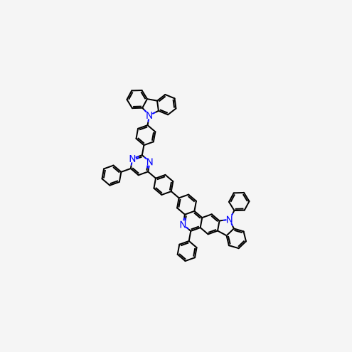 c1ccc(-c2cc(-c3ccc(-c4ccc5c(c4)nc(-c4ccccc4)c4cc6c7ccccc7n(-c7ccccc7)c6cc45)cc3)nc(-c3ccc(-n4c5ccccc5c5ccccc54)cc3)n2)cc1